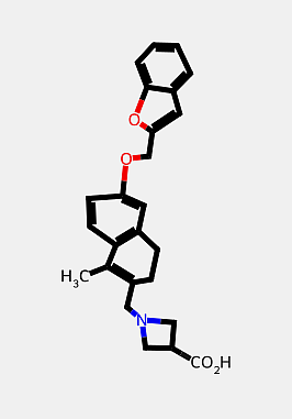 CC1=C(CN2CC(C(=O)O)C2)CCc2cc(OCc3cc4ccccc4o3)ccc21